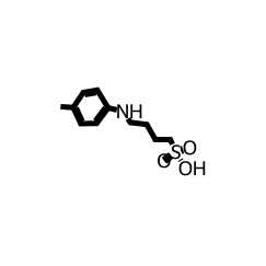 Cc1ccc(NCCCCS(=O)(=O)O)cc1